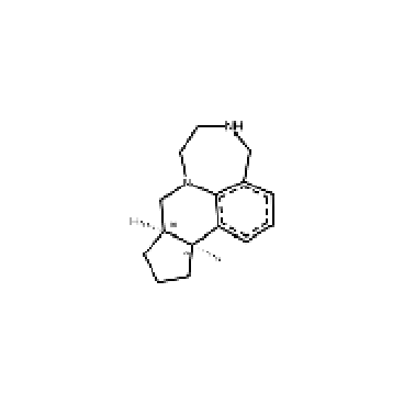 C[C@]12CCC[C@H]1CN1CCNCc3cccc2c31